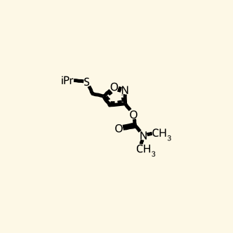 CC(C)SCc1cc(OC(=O)N(C)C)no1